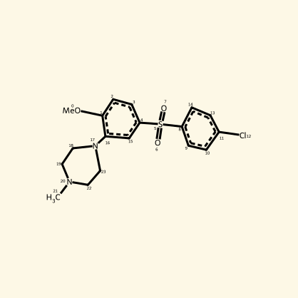 COc1ccc(S(=O)(=O)c2ccc(Cl)cc2)cc1N1CCN(C)CC1